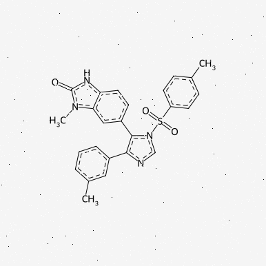 Cc1ccc(S(=O)(=O)n2cnc(-c3cccc(C)c3)c2-c2ccc3[nH]c(=O)n(C)c3c2)cc1